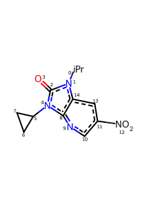 CC(C)n1c(=O)n(C2CC2)c2ncc([N+](=O)[O-])cc21